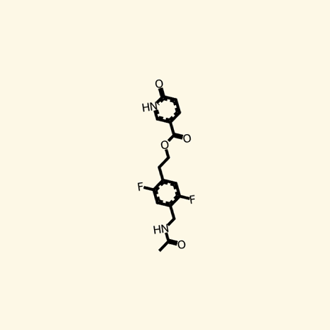 CC(=O)NCc1cc(F)c(CCOC(=O)c2ccc(=O)[nH]c2)cc1F